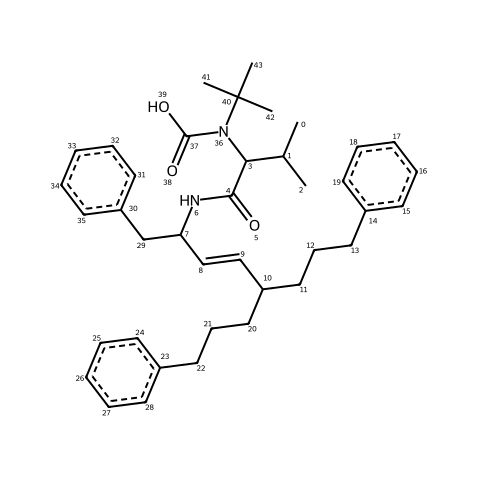 CC(C)C(C(=O)NC(C=CC(CCCc1ccccc1)CCCc1ccccc1)Cc1ccccc1)N(C(=O)O)C(C)(C)C